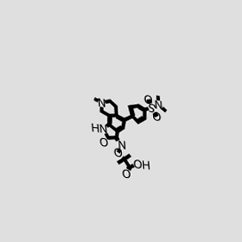 CN1CCc2c(-c3ccc(S(=O)(=O)N(C)C)cc3)cc3c(c2C1)NC(=O)C3=NOC(C)(C)C(=O)O